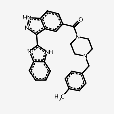 Cc1ccc(CN2CCN(C(=O)c3ccc4[nH]nc(-c5nc6ccccc6[nH]5)c4c3)CC2)cc1